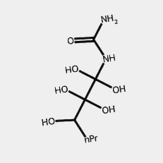 CCCC(O)C(O)(O)C(O)(O)NC(N)=O